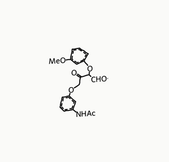 COc1cccc(OC([C]=O)C(=O)COc2cccc(NC(C)=O)c2)c1